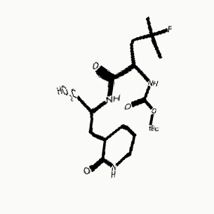 CC(C)(F)CC(NC(=O)OC(C)(C)C)C(=O)NC(CC1CCCNC1=O)C(=O)O